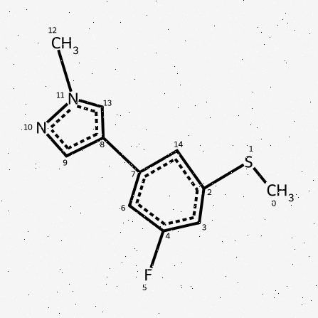 CSc1cc(F)cc(-c2cnn(C)c2)c1